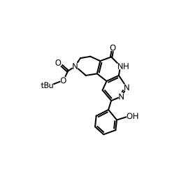 CC(C)(C)OC(=O)N1CCc2c(c3cc(-c4ccccc4O)nnc3[nH]c2=O)C1